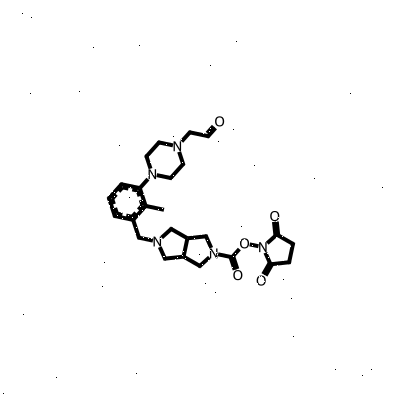 Cc1c(CN2CC3CN(C(=O)ON4C(=O)CCC4=O)CC3C2)cccc1N1CCN(CC=O)CC1